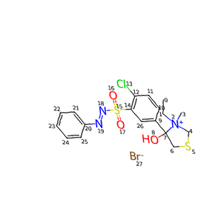 CC[N+]1(C)CSCC1(O)c1ccc(Cl)c(S(=O)(=O)N=Nc2ccccc2)c1.[Br-]